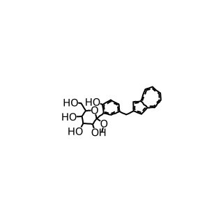 COC1(c2cc(Cc3cc4cccccc-4c3)ccc2O)OC(CO)C(O)C(O)C1O